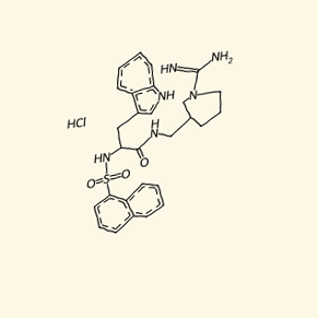 Cl.N=C(N)N1CCCC(CNC(=O)C(Cc2c[nH]c3ccccc23)NS(=O)(=O)c2cccc3ccccc23)C1